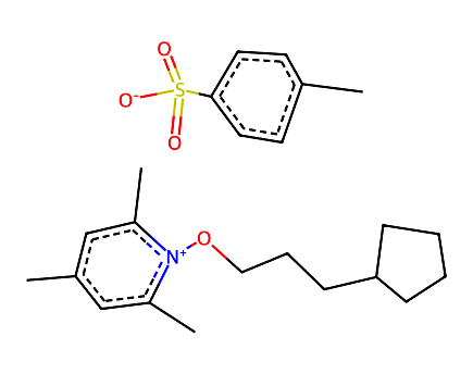 Cc1cc(C)[n+](OCCCC2CCCC2)c(C)c1.Cc1ccc(S(=O)(=O)[O-])cc1